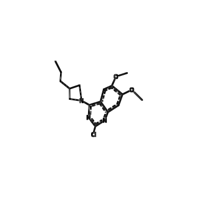 CCCC1CN(c2nc(Cl)nc3cc(OC)c(OC)cc23)C1